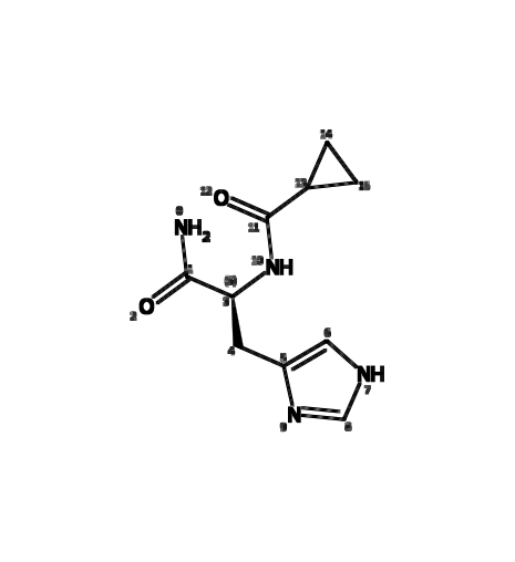 NC(=O)[C@H](Cc1c[nH]cn1)NC(=O)C1CC1